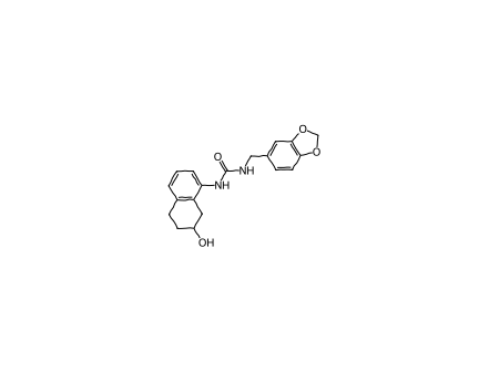 O=C(NCc1ccc2c(c1)OCO2)Nc1cccc2c1CC(O)CC2